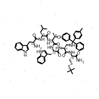 Cc1ccc(C(NC[C@H](NC(=O)[C@H](Cc2c[nH]c3ccccc23)NC(=O)[C@@H](NC(=O)[C@H](CC(C)C)NC(=O)[C@@H](N)Cc2c[nH]c3ccccc23)[C@@H](C)O)C(=O)N[C@@H](CSSC(C)(C)C)C(N)=O)(c2ccccc2)c2ccccc2)cc1